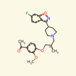 COc1cc(C(C)=O)ccc1OC[C@H](C)CN1CCC(c2noc3cc(F)ccc23)CC1